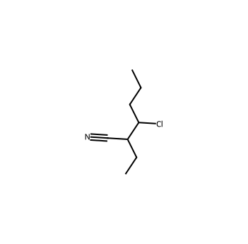 CCCC(Cl)C(C#N)CC